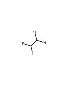 [2H][C]([2H])C(F)F